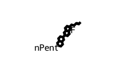 CC=CCCc1ccc2cc(C3CCC4CC(CCCCC)CCC4C3)ccc2c1F